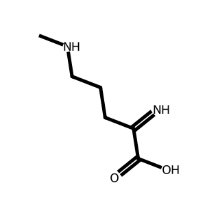 CNCCCC(=N)C(=O)O